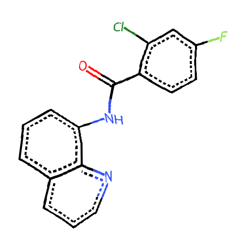 O=C(Nc1cccc2cccnc12)c1ccc(F)cc1Cl